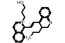 CCCC1CN=c2ccccc2=C1/C=C/c1c2ccccc2cc[n+]1CCCO